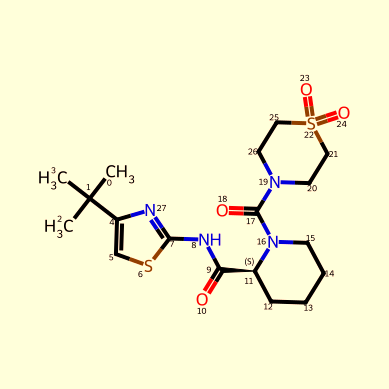 CC(C)(C)c1csc(NC(=O)[C@@H]2CCCCN2C(=O)N2CCS(=O)(=O)CC2)n1